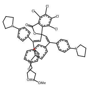 COCCOc1ccc(C(=CC2(C=C(c3ccc(OCCOC)cc3)c3ccc(N4CCCC4)cc3)OC(=O)c3c(Cl)c(Cl)c(Cl)c(Cl)c32)c2ccc(N3CCCC3)cc2)cc1